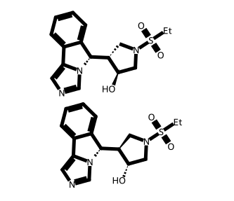 CCS(=O)(=O)N1C[C@@H]([C@H]2c3ccccc3-c3cncn32)[C@H](O)C1.CCS(=O)(=O)N1C[C@H]([C@H]2c3ccccc3-c3cncn32)[C@@H](O)C1